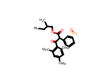 COc1cc(OC)c(C(=O)C(C(=O)OCC(C)CC(C)(C)C)c2ccccc2)c(OC)c1.O=[PH3]